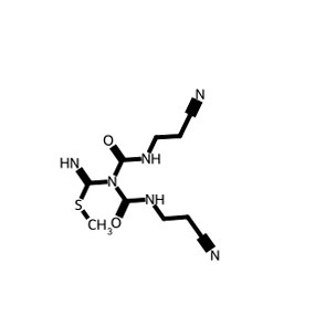 CSC(=N)N(C(=O)NCCC#N)C(=O)NCCC#N